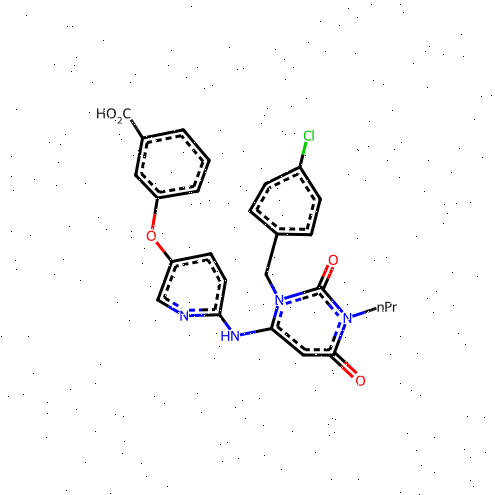 CCCn1c(=O)cc(Nc2ccc(Oc3cccc(C(=O)O)c3)cn2)n(Cc2ccc(Cl)cc2)c1=O